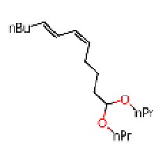 CCCC/C=C/C=C\CCCC(OCCC)OCCC